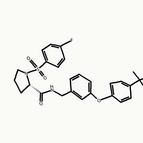 CC(C)(C)c1ccc(Oc2cccc(CNC(=O)[C@@H]3CCCN3S(=O)(=O)c3ccc(F)cc3)c2)cc1